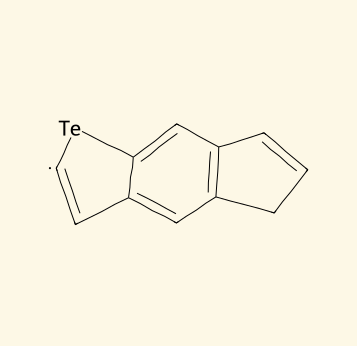 [c]1cc2cc3c(cc2[te]1)C=CC3